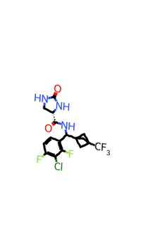 O=C1NC[C@@H](C(=O)NC(c2ccc(F)c(Cl)c2F)C23CC(C(F)(F)F)(C2)C3)N1